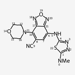 CNc1nnc(Nc2cc(C#N)c(N3CCOCC3)c3nonc23)s1